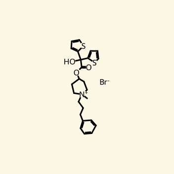 C[N+]1(CCCc2ccccc2)CCC(OC(=O)C(O)(c2cccs2)c2cccs2)CC1.[Br-]